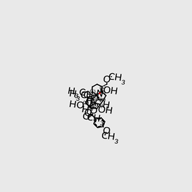 CCN1C[C@]2(COC)CC[C@H](OC)[C@@]34[C@@H]5C[C@]6(O)[C@@H](OC)C[C@@](O)([C@H]5[C@H]6OC(=O)c5ccc(OC)cc5)[C@@H](C[C@]23O)[C@@H]14